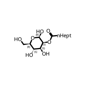 CCCCCCCC(=O)O[C@H]1[C@@H](O)[C@H](O)[C@@H](CO)O[C@H]1O